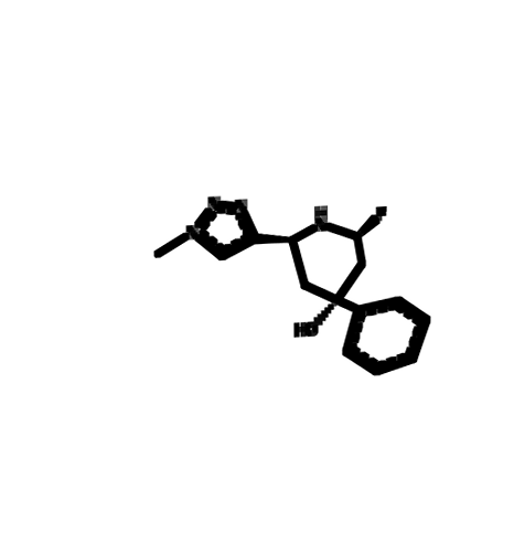 Cn1cc([C@@H]2C[C@](O)(c3ccccc3)C[C@H](F)N2)nn1